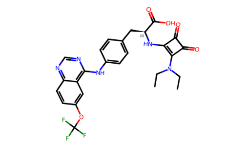 CCN(CC)c1c(N[C@@H](Cc2ccc(Nc3ncnc4ccc(OC(F)(F)F)cc34)cc2)C(=O)O)c(=O)c1=O